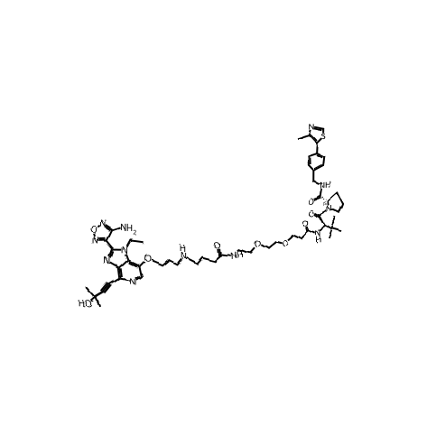 CCn1c(-c2nonc2N)nc2c(C#CC(C)(C)O)ncc(OCCCNCCCC(=O)NCCOCCOCCC(=O)NC(C(=O)N3CCC[C@H]3C(=O)NCc3ccc(-c4scnc4C)cc3)C(C)(C)C)c21